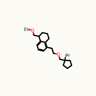 CCOCC1CCCc2c(CCOCC3(C(C)C)CCCC3)cccc21